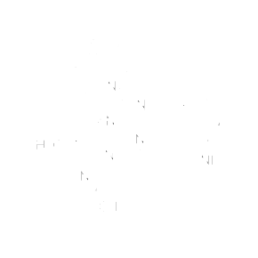 CCc1nc(C)cn1-c1nc(-c2cccc3[nH]ccc23)nc(N2CCOCC2)n1